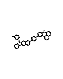 Cc1cccc(-n2c3ccccc3c3cc4ccc(-c5ccc(-c6ccc7c(c6)-c6cccc8cccc(c68)O7)cc5)cc4cc32)c1